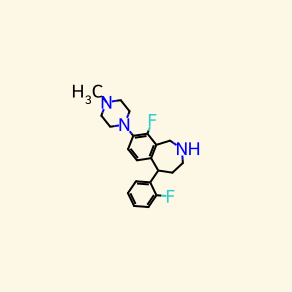 CN1CCN(c2ccc3c(c2F)CNCCC3c2ccccc2F)CC1